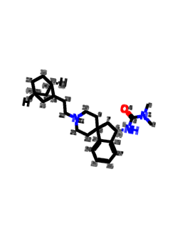 CN(C)C(=O)N[C@H]1CC2(CCN(CCC3C[C@@H]4CC[C@@H]3C4)CC2)c2ccccc21